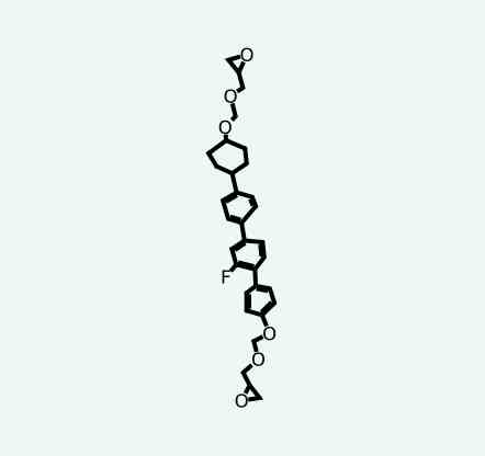 Fc1cc(-c2ccc(C3CCC(OCOCC4CO4)CC3)cc2)ccc1-c1ccc(OCOCC2CO2)cc1